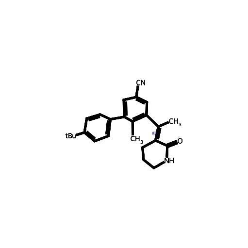 C/C(=C1/CCCNC1=O)c1cc(C#N)cc(-c2ccc(C(C)(C)C)cc2)c1C